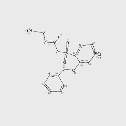 Cl.NC/C=C(\F)CS(=O)(=O)c1ccccc1OCc1ccccc1